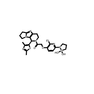 CCc1nc(N2CCCS2(O)O)ccc1OCC(=O)N1CCc2nc3n(c2C1c1sc(C)nc1C)CCC3